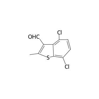 Cc1sc2c(Cl)ccc(Cl)c2c1C=O